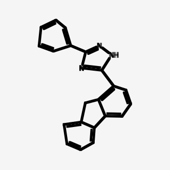 c1ccc(-c2n[nH]c(-c3cccc4c3Cc3ccccc3-4)n2)cc1